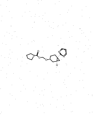 O=C(OCO[C@H]1CC[C@@]2(c3ncccn3)C[C@H]2C1)N1CCCC1